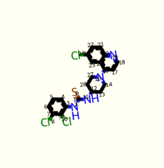 S=C(Nc1cccc(Cl)c1Cl)NC1CCN(c2ccnc3ccc(Cl)cc23)CC1